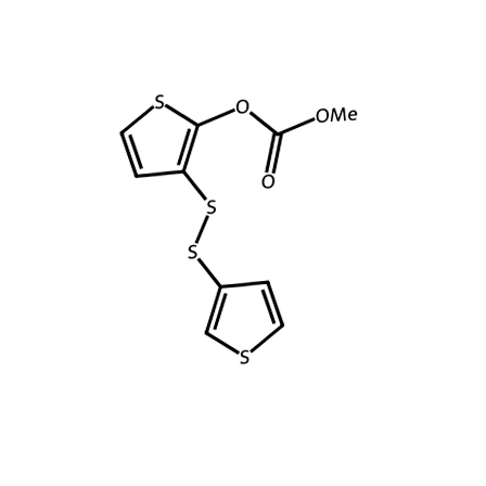 COC(=O)Oc1sccc1SSc1ccsc1